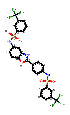 O=S(=O)(Nc1ccc(-c2nc3cc(NS(=O)(=O)c4cccc(C(F)(F)F)c4)ccc3o2)cc1)c1cccc(C(F)(F)F)c1